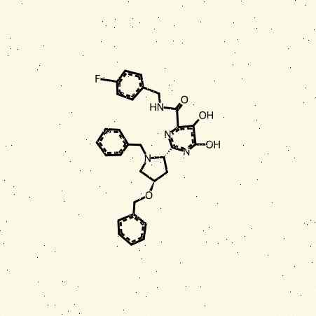 O=C(NCc1ccc(F)cc1)c1nc([C@@H]2C[C@@H](OCc3ccccc3)CN2Cc2ccccc2)nc(O)c1O